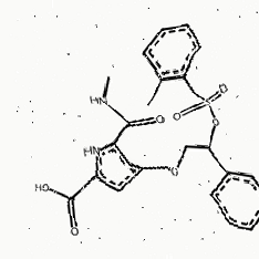 CNC(=O)c1[nH]c(C(=O)O)cc1OCC(OS(=O)(=O)c1ccccc1C)c1ccccc1